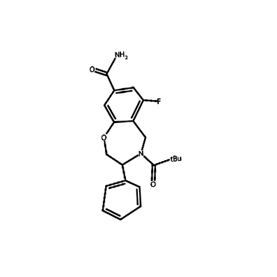 CC(C)(C)C(=O)N1Cc2c(F)cc(C(N)=O)cc2OCC1c1ccccc1